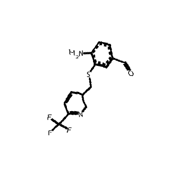 Nc1ccc(C=O)cc1SCC1C=CC(C(F)(F)F)=NC1